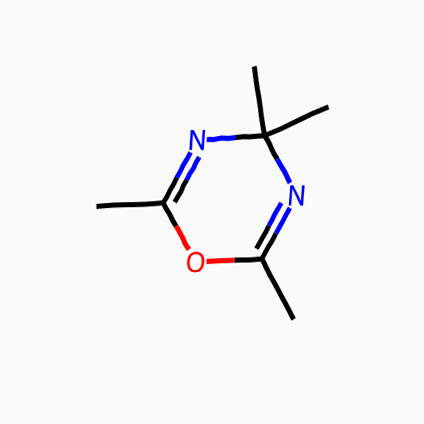 CC1=NC(C)(C)N=C(C)O1